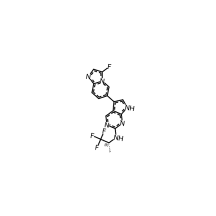 C[C@@H](Nc1ncc2c(-c3ccc4ncc(F)n4c3)c[nH]c2n1)C(F)(F)F